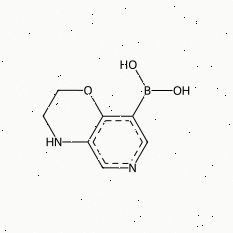 OB(O)c1cncc2c1OCCN2